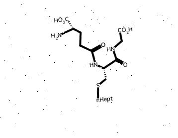 CCCCCCCSC[C@H](NC(=O)CC[C@H](N)C(=O)O)C(=O)NCC(=O)O